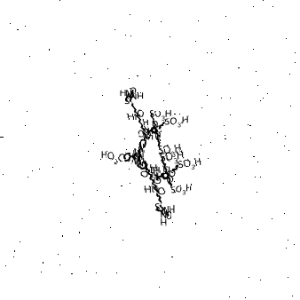 O=C(CCCC[C@@H]1SCC2NC(=O)NC21)NCCCCC(NC(=O)c1cc(OCCCS(=O)(=O)O)c(OCCCS(=O)(=O)O)c(OCCCS(=O)(=O)O)c1)C(=O)NC1CCN(c2nc(C3CCC(C(=O)O)CC3)nc(N3CCC(NC(=O)C(CCCCNC(=O)CCCC[C@H]4SCC5NC(=O)NC54)NC(=O)c4cc(OCCCS(=O)(=O)O)c(OCCCS(=O)(=O)O)c(OCCCS(=O)(=O)O)c4)CC3)n2)CC1